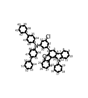 Clc1cc(-c2cc3c4ccccc4n(-c4ccccc4)c3c3c2oc2ccccc23)cc(N(c2ccc(-c3ccccc3)cc2)c2ccc(-c3ccccc3)cc2)c1